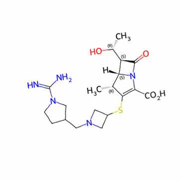 C[C@@H](O)[C@H]1C(=O)N2C(C(=O)O)=C(SC3CN(CC4CCN(C(=N)N)C4)C3)[C@H](C)[C@H]12